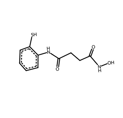 O=C(CCC(=O)Nc1ccccc1S)NO